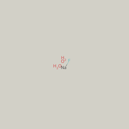 O.O.[F][Na]